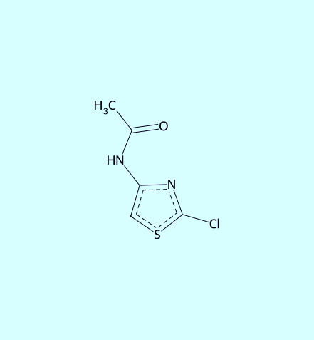 CC(=O)Nc1csc(Cl)n1